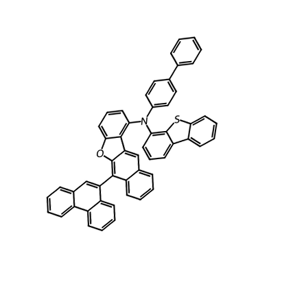 c1ccc(-c2ccc(N(c3cccc4c3sc3ccccc34)c3cccc4oc5c(-c6cc7ccccc7c7ccccc67)c6ccccc6cc5c34)cc2)cc1